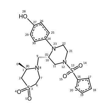 C[C@@H]1CS(=O)(=O)CCN1C[C@H]1CN(S(=O)(=O)c2cccs2)CCN1c1ccc(O)cc1